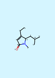 CCC1=CC(=O)N(C)C1CC(C)C